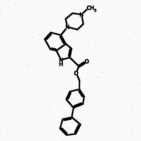 CN1CCN(c2cccc3[nH]c(C(=O)OCc4ccc(-c5ccccc5)cc4)cc23)CC1